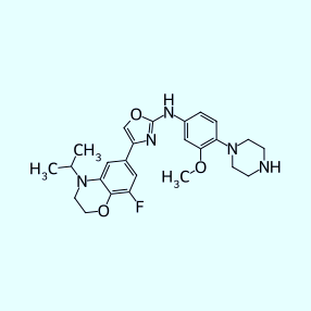 COc1cc(Nc2nc(-c3cc(F)c4c(c3)N(C(C)C)CCO4)co2)ccc1N1CCNCC1